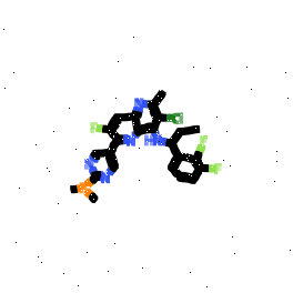 CCC(Nc1c(Cl)c(C)nc2cc(F)c(-c3cnc(P(C)C)nc3)nc12)c1cccc(F)c1F